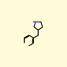 C/C=C\C(=C/C)CC1CCNC1